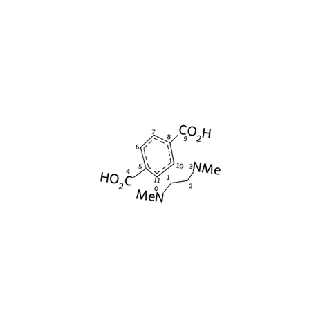 CNCCNC.O=C(O)c1ccc(C(=O)O)cc1